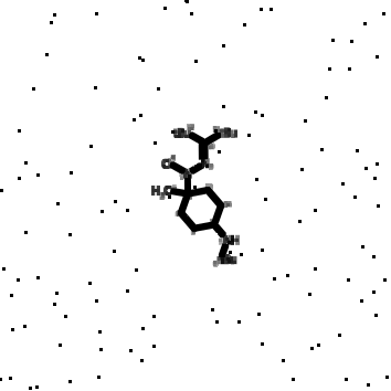 CCCCNC1CCC(C)(N(Cl)N=C(C(C)(C)C)C(C)(C)C)CC1